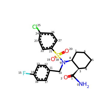 NC(=O)[C@@H]1CCCC[C@@H]1N(Cc1ccc(F)cc1)S(=O)(=O)c1ccc(Cl)cc1